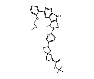 COCOc1ccccc1-c1cc2c3c([nH]c2nn1)CCN(c1ncc(N2CCC4(CCN(C(=O)OC(C)(C)C)C4)C2)cn1)C3C